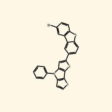 Brc1ccc2sc3ccc(-c4cc5c(s4)c4sccc4n5-c4ccccc4)cc3c2c1